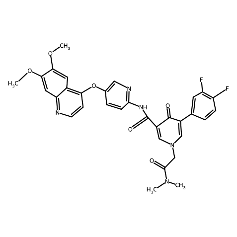 COc1cc2nccc(Oc3ccc(NC(=O)c4cn(CC(=O)N(C)C)cc(-c5ccc(F)c(F)c5)c4=O)nc3)c2cc1OC